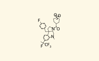 CN1CC2N(C(=O)C3CCS(=O)(=O)CC3)CCC2(Cc2ccc(F)cc2)c2ccc(C(C)(F)C(F)(F)F)cc21